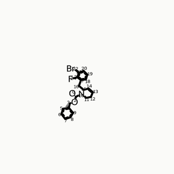 O=C(OCc1ccccc1)N1CCC=CC1Cc1cccc(Br)c1F